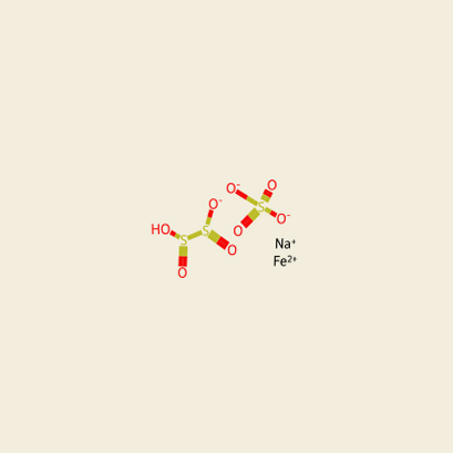 O=S(=O)([O-])[O-].O=S([O-])S(=O)O.[Fe+2].[Na+]